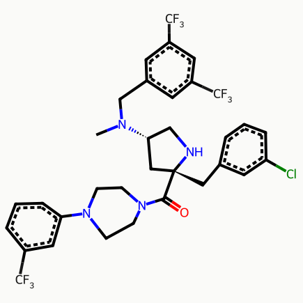 CN(Cc1cc(C(F)(F)F)cc(C(F)(F)F)c1)[C@@H]1CN[C@](Cc2cccc(Cl)c2)(C(=O)N2CCN(c3cccc(C(F)(F)F)c3)CC2)C1